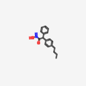 CCCCc1ccc(C(C(=O)NO)c2ccccc2)cc1